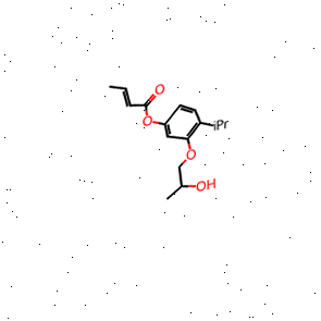 CC=CC(=O)Oc1ccc(C(C)C)c(OCC(C)O)c1